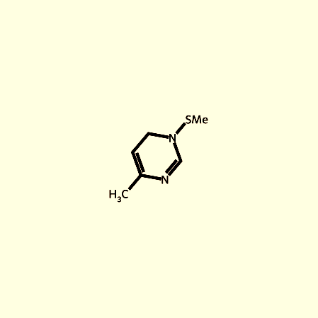 [CH2]SN1C=NC(C)=CC1